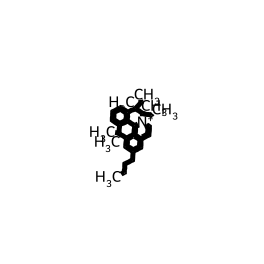 CCCCc1cc2c3c4[n+](ccc3c1)C(C)(CC)C(C)(CC)c1cccc(c1-4)C2(C)C